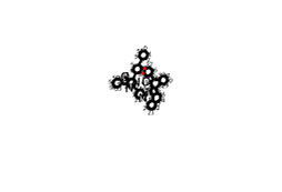 c1ccc(-c2ccc(-c3nc(-c4ccnc(-n5c6c7ccccc7ccc6c6c7ccccc7c7c8ccccc8oc7c65)c4)nc4c3oc3ccccc34)cc2)cc1